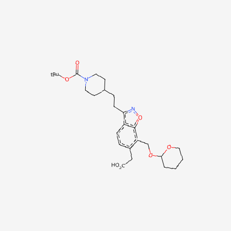 CC(C)(C)OC(=O)N1CCC(CCc2noc3c(COC4CCCCO4)c(CC(=O)O)ccc23)CC1